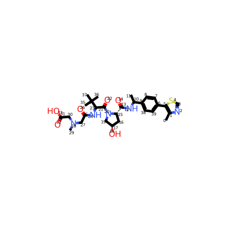 Cc1ncsc1-c1ccc(C(C)NC(=O)[C@@H]2C[C@@H](O)CN2C(=O)C(NC(=O)CN(C)CC(=O)O)C(C)(C)C)cc1